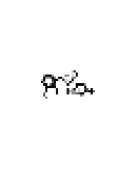 O=C(NCc1cccc(Cl)c1F)[C@@H]1CC(F)CN1